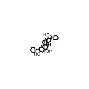 C[C@]12C[C@H](N3CCCCC3)[C@@H](O)C[C@@H]1CC[C@@H]1[C@@H]2CC[C@]2(C)[C@H](O)[C@@H]([N+]3(C)CCCCC3)C[C@@H]12.[Br-]